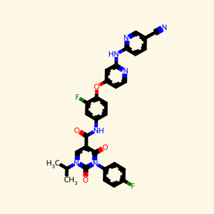 CC(C)n1cc(C(=O)Nc2ccc(Oc3ccnc(Nc4ccc(C#N)cn4)c3)c(F)c2)c(=O)n(-c2ccc(F)cc2)c1=O